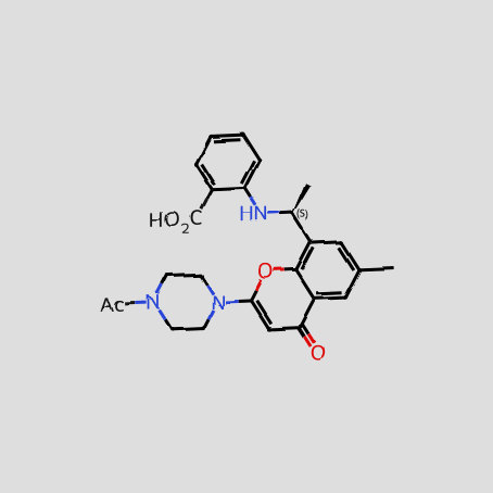 CC(=O)N1CCN(c2cc(=O)c3cc(C)cc([C@H](C)Nc4ccccc4C(=O)O)c3o2)CC1